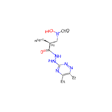 CCCCC[C@@H](CN(O)C=O)C(=O)NNc1nnc(CC)c(CC)n1